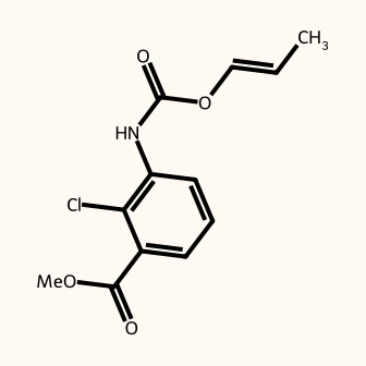 CC=COC(=O)Nc1cccc(C(=O)OC)c1Cl